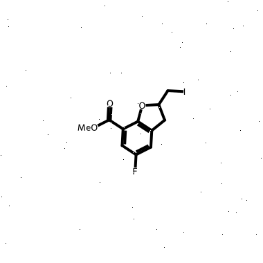 COC(=O)c1cc(F)cc2c1OC(CI)C2